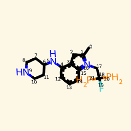 Cc1cc2c(NC3CCNCC3)cccc2n1CC(F)(P)P